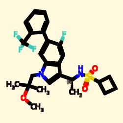 COC(C)(C)Cn1cc([C@@H](C)NS(=O)(=O)C2CCC2)c2cc(F)c(-c3ccccc3C(F)(F)F)cc21